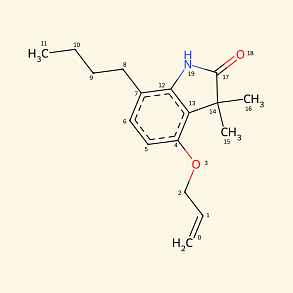 C=CCOc1ccc(CCCC)c2c1C(C)(C)C(=O)N2